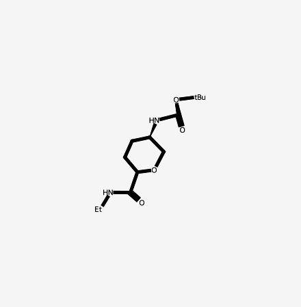 CCNC(=O)C1CC[C@@H](NC(=O)OC(C)(C)C)CO1